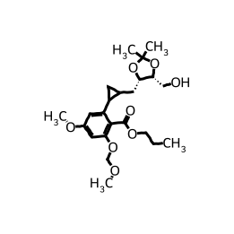 CCCOC(=O)c1c(OCOC)cc(OC)cc1C1CC1C[C@@H]1OC(C)(C)O[C@@H]1CO